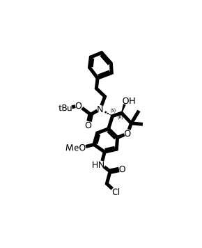 COc1cc2c(cc1NC(=O)CCl)OC(C)(C)[C@H](O)[C@H]2N(CCc1ccccc1)C(=O)OC(C)(C)C